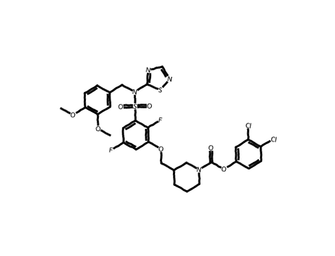 COc1ccc(CN(c2ncns2)S(=O)(=O)c2cc(F)cc(OCC3CCCN(C(=O)Oc4ccc(Cl)c(Cl)c4)C3)c2F)cc1OC